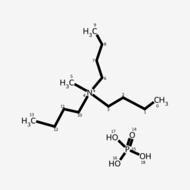 CCCC[N+](C)(CCCC)CCCC.O=P(O)(O)O